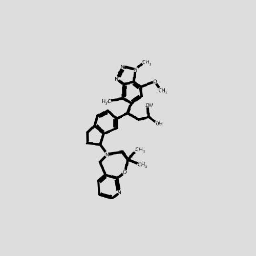 COc1cc(C(CC(O)O)c2ccc3c(c2)C(N2Cc4cccnc4OC(C)(C)C2)CC3)c(C)c2nnn(C)c12